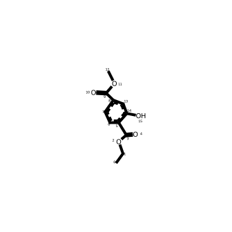 CCOC(=O)c1ccc(C(=O)OC)cc1O